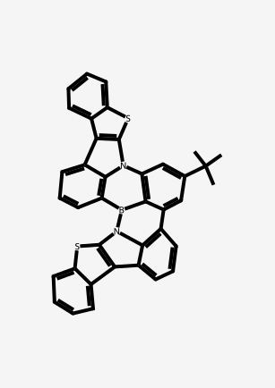 CC(C)(C)c1cc2c3c(c1)-n1c4sc5ccccc5c4c4cccc(c41)B3n1c3sc4ccccc4c3c3cccc-2c31